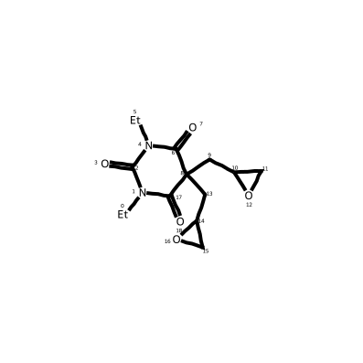 CCN1C(=O)N(CC)C(=O)C(CC2CO2)(CC2CO2)C1=O